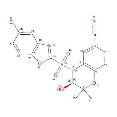 CC1(C)Oc2ccc(C#N)cc2[C@@H](S(=O)(=O)c2nc3cc(Cl)ccc3o2)[C@@H]1O